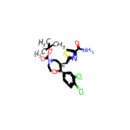 CC(C)(C)OC(=O)N1CCO[C@@H](c2ccc(Cl)c(Cl)c2)[C@H](Cc2nc(C(N)=O)cs2)C1